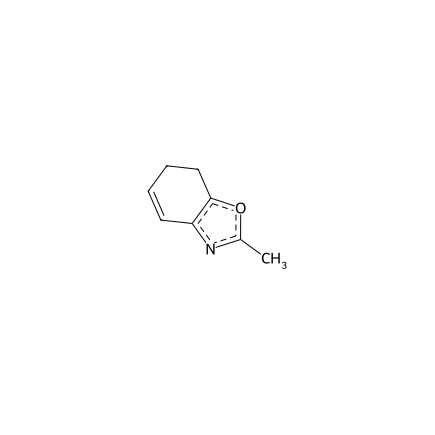 Cc1nc2c(o1)CCC=C2